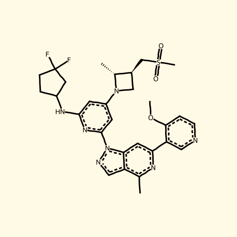 COc1ccncc1-c1cc2c(cnn2-c2cc(N3C[C@H](CS(C)(=O)=O)[C@H]3C)cc(NC3CCC(F)(F)C3)n2)c(C)n1